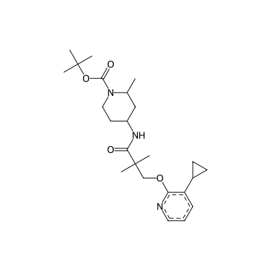 CC1CC(NC(=O)C(C)(C)COc2ncccc2C2CC2)CCN1C(=O)OC(C)(C)C